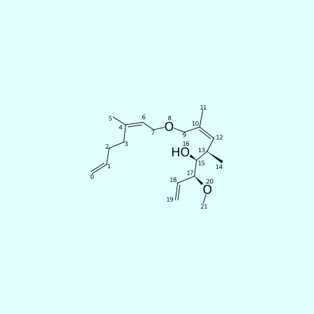 C=CCC/C(C)=C\COC/C(C)=C\[C@@H](C)[C@H](O)[C@H](C=C)OC